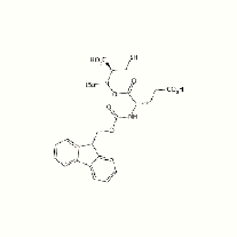 CC(C)(C)N(OC(=O)[C@H](CCC(=O)O)NC(=O)OCC1c2ccccc2-c2ccccc21)[C@H](CS)C(=O)O